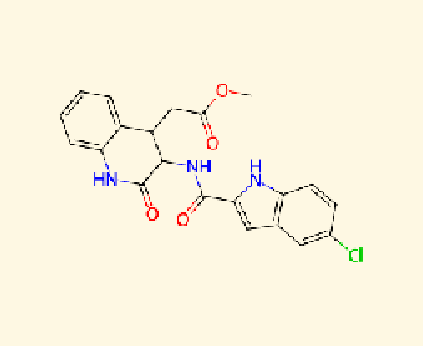 COC(=O)CC1c2ccccc2NC(=O)C1NC(=O)c1cc2cc(Cl)ccc2[nH]1